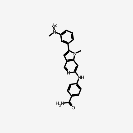 CC(=O)N(C)c1cccc(-c2cc3cnc(Nc4ccc(C(N)=O)cc4)cc3n2C)c1